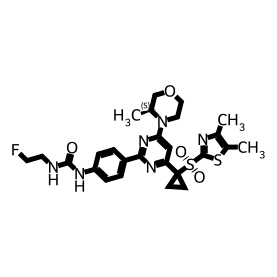 Cc1nc(S(=O)(=O)C2(c3cc(N4CCOC[C@@H]4C)nc(-c4ccc(NC(=O)NCCF)cc4)n3)CC2)sc1C